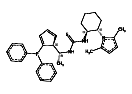 Cc1ccc(C)n1[C@H]1CCCC[C@@H]1NC(=S)N[C@H](C)[C@@H]1C=CC=C1P(c1ccccc1)c1ccccc1